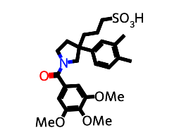 COc1cc(C(=O)N2CCC(CCCS(=O)(=O)O)(c3ccc(C)c(C)c3)C2)cc(OC)c1OC